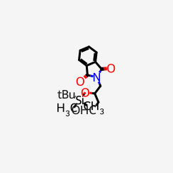 CC(C)(C)[Si](C)(C)OC(CC=O)CN1C(=O)c2ccccc2C1=O